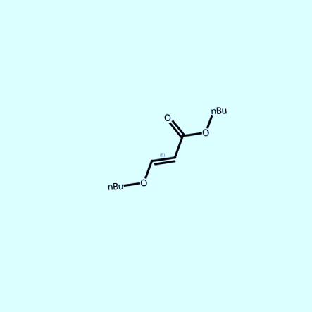 CCCCO/C=C/C(=O)OCCCC